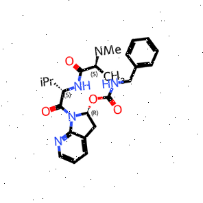 CN[C@@H](C)C(=O)N[C@H](C(=O)N1c2ncccc2C[C@H]1OC(=O)NCc1ccccc1)C(C)C